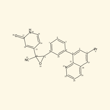 CC(C)c1cc(-c2cccc(C3OC3(C#N)c3cc[nH]c(=O)c3)c2)c2ncccc2c1